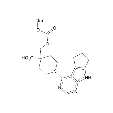 CC(C)(C)OC(=O)NCC1(C(=O)O)CCN(c2ncnc3[nH]c4c(c23)CCC4)CC1